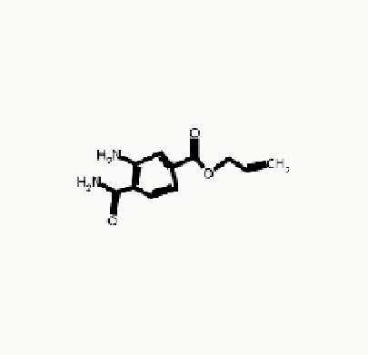 C=CCOC(=O)c1ccc(C(N)=O)c(N)c1